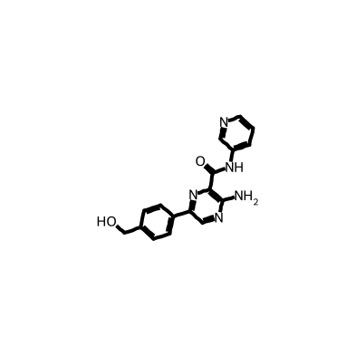 Nc1ncc(-c2ccc(CO)cc2)nc1C(=O)Nc1cccnc1